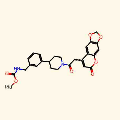 CC(C)(C)OC(=O)NCc1cccc(C2CCN(C(=O)Cc3cc(=O)oc4cc5c(cc34)OCO5)CC2)c1